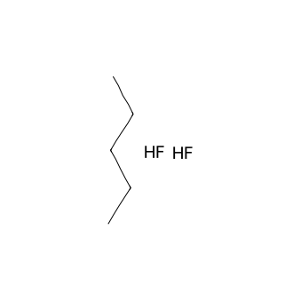 CCCCC.F.F